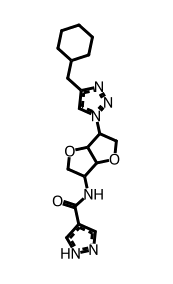 O=C(NC1COC2C1OCC2n1cc(CC2CCCCC2)nn1)c1cn[nH]c1